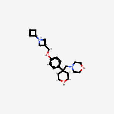 c1cc(C2(CN3CCOCC3)CCOCC2)ccc1OCC1CN(C2CCC2)C1